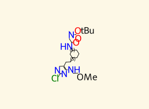 COCCNc1nc(Cl)ncc1CC[C@@H]1CCC[C@H](NC(=O)CN(C)C(=O)OC(C)(C)C)C1